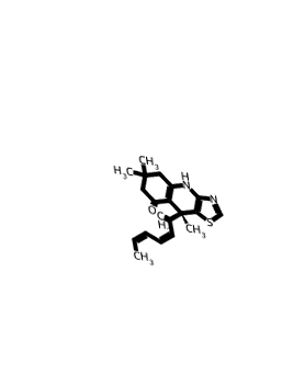 C=C(/C=C\C=C/C)[C@]1(C)C2=C(CC(C)(C)CC2=O)Nc2ncsc21